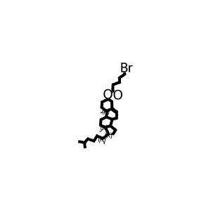 CC(C)CCC[C@@H](C)[C@H]1CCC2C3CC=C4CC(OC(=O)CCCCBr)CC[C@]4(C)C3CC[C@@]21C